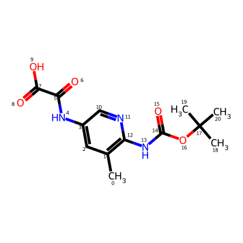 Cc1cc(NC(=O)C(=O)O)cnc1NC(=O)OC(C)(C)C